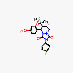 CC1(C)Oc2cc(O)ccc2C2C1=CCn1c(=O)n(-c3ccc(F)cc3)c(=O)n12